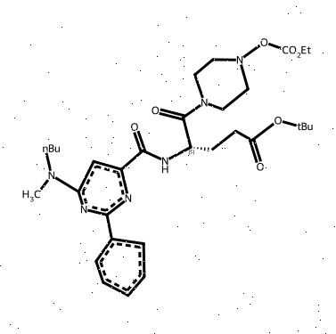 CCCCN(C)c1cc(C(=O)N[C@@H](CCC(=O)OC(C)(C)C)C(=O)N2CCN(OC(=O)OCC)CC2)nc(-c2ccccc2)n1